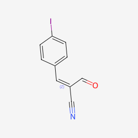 N#C/C(C=O)=C/c1ccc(I)cc1